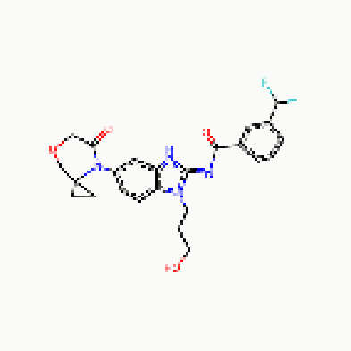 O=C(/N=c1\[nH]c2cc(N3C(=O)COCC34CC4)ccc2n1CCCO)c1cccc(C(F)F)c1